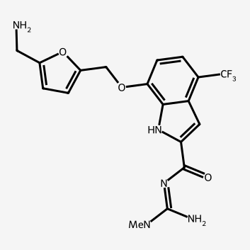 CNC(N)=NC(=O)c1cc2c(C(F)(F)F)ccc(OCc3ccc(CN)o3)c2[nH]1